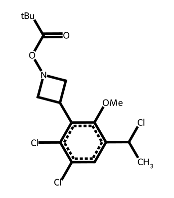 COc1c(C(C)Cl)cc(Cl)c(Cl)c1C1CN(OC(=O)C(C)(C)C)C1